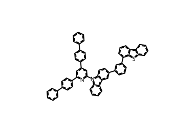 c1ccc(-c2ccc(-c3cc(-c4ccc(-c5ccccc5)cc4)nc(-n4c5ccccc5c5cc(-c6cccc(-c7cccc8c7sc7ccccc78)c6)ccc54)c3)cc2)cc1